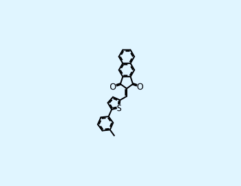 Cc1cccc(-c2ccc(C=C3C(=O)c4cc5ccccc5cc4C3=O)s2)c1